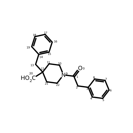 O=C(Cc1ccccc1)N1CCC(Cc2ccccc2)(C(=O)O)CC1